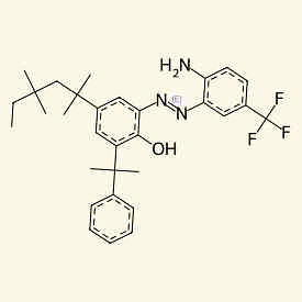 CCC(C)(C)CC(C)(C)c1cc(/N=N/c2cc(C(F)(F)F)ccc2N)c(O)c(C(C)(C)c2ccccc2)c1